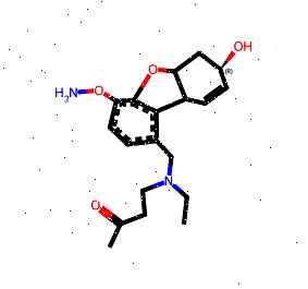 CCN(CCC(C)=O)Cc1ccc(ON)c2c1C1C=C[C@H](O)CC1O2